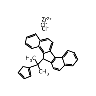 CC(C)(C1=CC=CC1)C1c2ccc3ccccc3c2-c2ccc3ccccc3c21.[Cl-].[Cl-].[Zr+2]